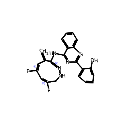 C=C1/C=C(F)\C=C(\F)CN/N=C\1Nc1nc(-c2ccccc2O)nc2ccccc12